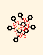 O=C(OC[C@H]1O[C@@H](OC[C@H]2OS[C@H](OC(=O)c3ccccc3)[C@@H](OC(=O)c3ccccc3)[C@@H]2OC(=O)c2ccccc2)[C@H](OC(=O)c2ccccc2)[C@@H](OC(=O)c2ccccc2)[C@@H]1OC(=O)c1ccccc1)c1ccccc1